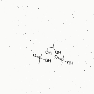 CC(O)CO.CP(C)(=O)O.CP(C)(=O)O